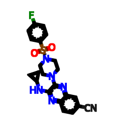 N#Cc1ccc2nc(NC3CC3)c(N3CCN(S(=O)(=O)c4ccc(F)cc4)CC3)nc2c1